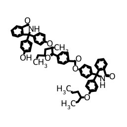 CCCCC(C)(Oc1ccc(C2(c3ccc(O)cc3)NC(=O)c3ccccc32)cc1)C(=O)c1ccc(C(=O)Oc2ccc(C3(c4ccc(OC(CC)CCC)cc4)NC(=O)c4ccccc43)cc2)cc1